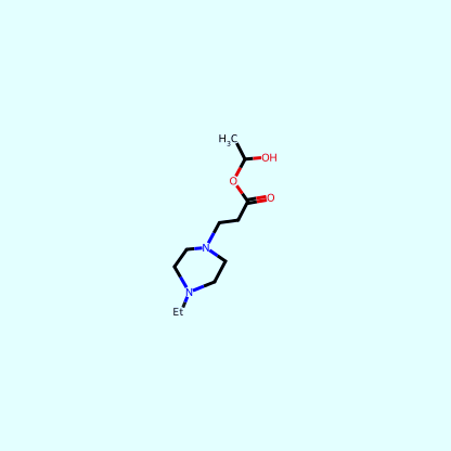 CCN1CCN(CCC(=O)OC(C)O)CC1